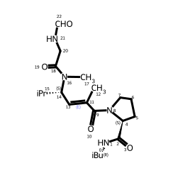 CC[C@@H](C)NC(=O)[C@@H]1CCCN1C(=O)/C(C)=C/[C@H](C(C)C)N(C)C(=O)CNC=O